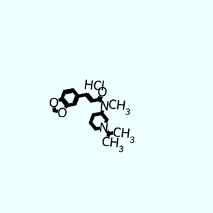 CC(C)N1CCCC(N(C)C(=O)C=Cc2ccc3c(c2)OCO3)C1.Cl